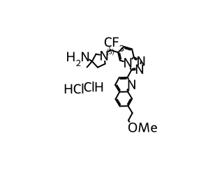 COCCc1ccc2ccc(-c3nnc4ccc([C@H](N5CCC(C)(N)C5)C(F)(F)F)cn34)nc2c1.Cl.Cl